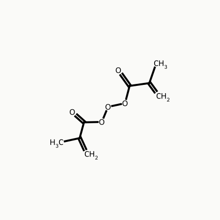 C=C(C)C(=O)OOOC(=O)C(=C)C